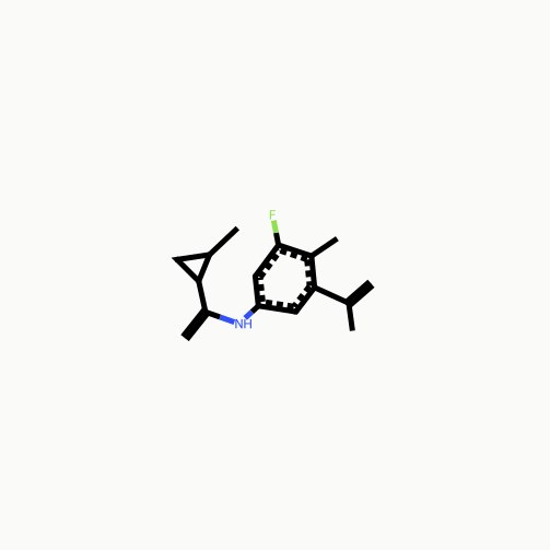 C=C(C)c1cc(NC(=C)C2CC2C)cc(F)c1C